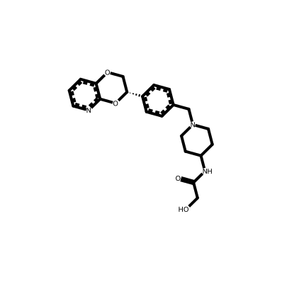 O=C(CO)NC1CCN(Cc2ccc([C@H]3COc4cccnc4O3)cc2)CC1